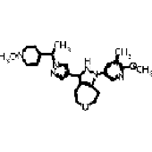 COc1ncc(N2NC(c3cnn(C(C)C4CCN(C)CC4)c3)C3=C2CCOCC3)cc1C